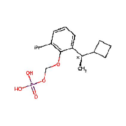 CC(C)c1cccc([C@H](C)C2CCC2)c1OCOP(=O)(O)O